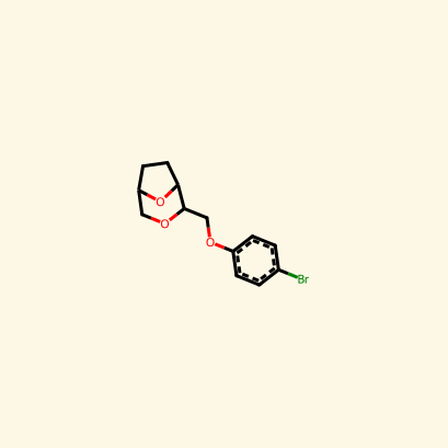 Brc1ccc(OCC2OCC3CCC2O3)cc1